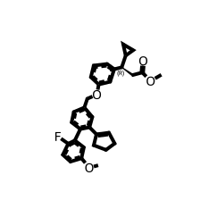 COC(=O)C[C@@H](c1cccc(OCc2ccc(-c3cc(OC)ccc3F)c(C3=CCCC3)c2)c1)C1CC1